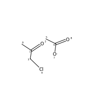 CC(=O)CCl.CC([O])=O